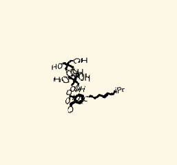 CC(C)CCCCCCC(=O)O.O=C1OC(=O)c2ccccc21.OCC(CO)(CO)CO.OCC(CO)(CO)CO